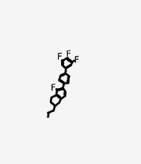 CCCC1CCc2c(ccc(-c3ccc(-c4cc(F)c(F)c(F)c4)cc3)c2F)C1